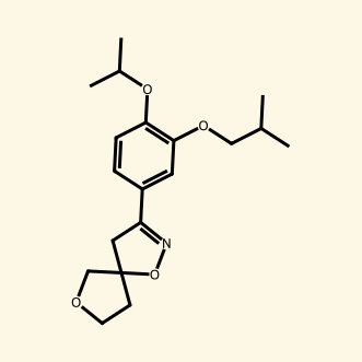 CC(C)COc1cc(C2=NOC3(CCOC3)C2)ccc1OC(C)C